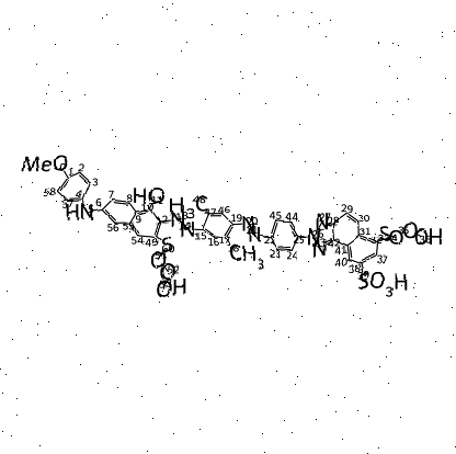 COc1ccc(Nc2ccc3c(O)c(N=Nc4cc(C)c(N=Nc5ccc(-n6nc7ccc8c(SOOO)cc(S(=O)(=O)O)cc8c7n6)cc5)cc4C)c(SOOO)cc3c2)cc1